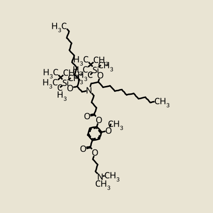 CCCCCCCCCCC(CN(CCCC(=O)Oc1ccc(C(=O)OCCCN(C)C)cc1OC)CC(CCCCCCCCCC)O[Si](C)(C)C(C)(C)C)O[Si](C)(C)C(C)(C)C